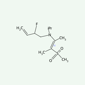 C=CC(F)CN(/C(C)=C(\C)S(C)(=O)=O)C(C)C